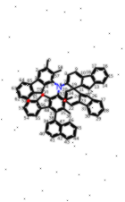 Cc1cc2c(c(N(C3=CC=C4C(=Cc5ccccc54)C34C=CC=C3C4=Cc4ccccc43)c3c(C)c(C)c(-c4cccc5ccccc45)c4c3Cc3ccccc3-4)c1C)Cc1ccccc1-2